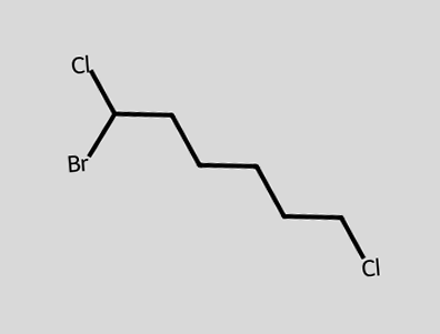 ClCCCCCC(Cl)Br